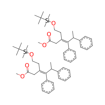 COC(=O)CC(CCO[Si](C)(C)C(C)(C)C)=C(c1ccccc1)C(C)c1ccccc1.COC(=O)CC(CCO[Si](C)(C)C(C)(C)C)=C(c1ccccc1)C(C)c1ccccc1